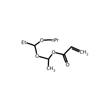 C=CC(=O)OC(C)OC(CC)OCCC